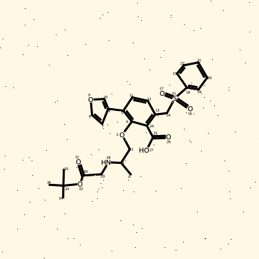 CC(COc1c(-c2ccoc2)ccc(CS(=O)(=O)c2ccccc2)c1C(=O)O)NCC(=O)OC(C)(C)C